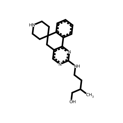 CC(CO)CCNc1ncc2c(n1)-c1ccccc1C1(CCNCC1)C2